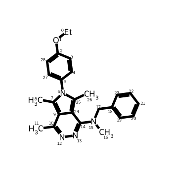 CCOc1ccc(-n2c(C)c3c(C)nnc(N(C)Cc4ccccc4)c3c2C)cc1